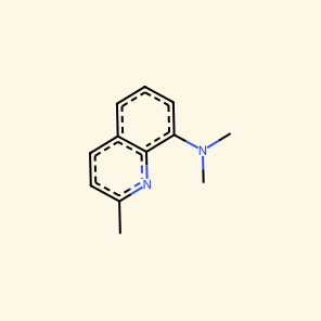 Cc1ccc2cccc(N(C)C)c2n1